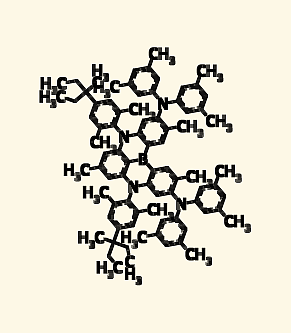 CCC(C)(CC)c1cc(C)c(N2c3cc(N(c4cc(C)cc(C)c4)c4cc(C)cc(C)c4)c(C)cc3B3c4cc(C)c(N(c5cc(C)cc(C)c5)c5cc(C)cc(C)c5)cc4N(c4c(C)cc(C(C)(CC)CC)cc4C)c4cc(C)cc2c43)c(C)c1